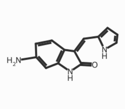 Nc1ccc2c(c1)NC(=O)/C2=C\c1ccc[nH]1